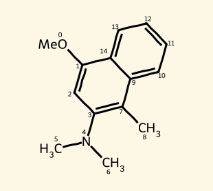 COc1cc(N(C)C)c(C)c2ccccc12